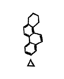 C1CC1.c1ccc2c(c1)ccc1c3c(ccc12)CCCC3